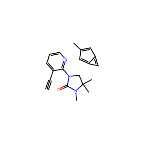 C#Cc1cccnc1N1CC(C)(C)N(C)C1=O.Cc1cc2cc-2c1